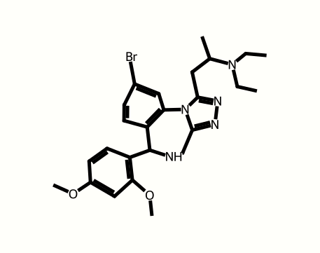 CCN(CC)C(C)Cc1nnc2n1-c1cc(Br)ccc1C(c1ccc(OC)cc1OC)NC2